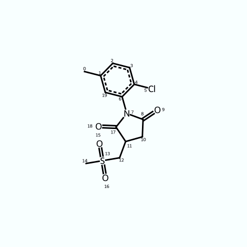 Cc1ccc(Cl)c(N2C(=O)CC(CS(C)(=O)=O)C2=O)c1